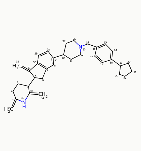 C=C1CCC(C2Cc3cc(C4CCN(Cc5ccc(C6CCCC6)cc5)CC4)ccc3C2=C)C(=C)N1